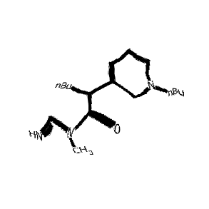 CCCCC(C(=O)N(C)C=N)C1CCCN(CCCC)C1